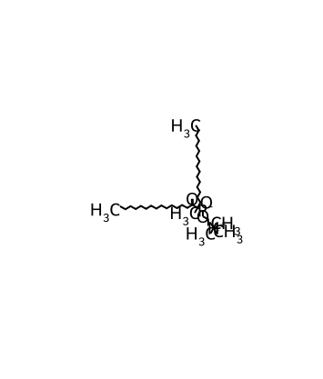 CCCCCCCCCCCCCCCC(=O)C(C)([P-]OCC[N+](C)(C)C)C(=O)CCCCCCCCCCCCCCC